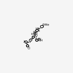 CO[C@H]1CC[C@H](CNc2ccc(S(=O)(=O)NC(=O)c3ccc(N4CCN(CC5=C(c6ccc(Cl)cc6)CC(C)(C)CC5)CC4)cc3Oc3cccc4[nH]ncc34)cc2C)CC1